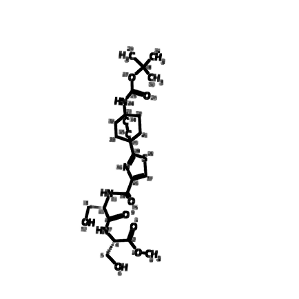 COC(=O)[C@H](CO)NC(=O)[C@H](CO)NC(=O)c1csc(C23CCC(NC(=O)OC(C)(C)C)(CC2)CC3)n1